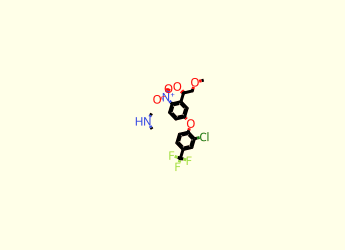 CNC.COCC(=O)c1cc(Oc2ccc(C(F)(F)F)cc2Cl)ccc1[N+](=O)[O-]